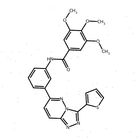 COc1cc(C(=O)Nc2cccc(-c3ccc4nnc(-c5cccs5)n4n3)c2)cc(OC)c1OC